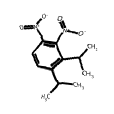 CC(C)c1ccc([N+](=O)[O-])c([N+](=O)[O-])c1C(C)C